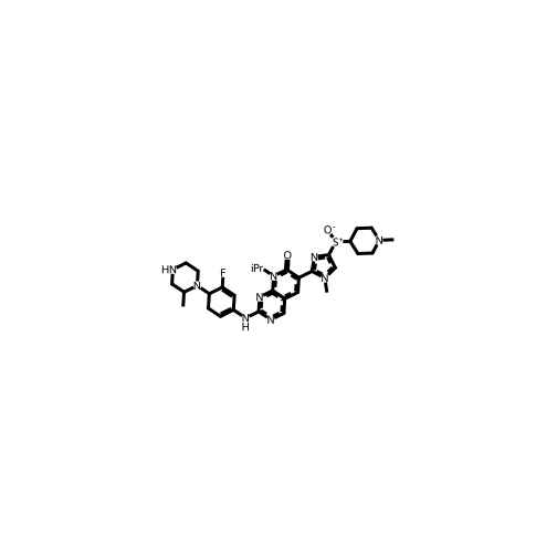 CC1CNCCN1C1CC=C(Nc2ncc3cc(-c4nc([S+]([O-])C5CCN(C)CC5)cn4C)c(=O)n(C(C)C)c3n2)C=C1F